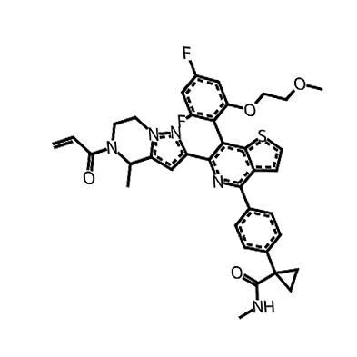 C=CC(=O)N1CCn2nc(-c3nc(-c4ccc(C5(C(=O)NC)CC5)cc4)c4ccsc4c3-c3c(F)cc(F)cc3OCCOC)cc2C1C